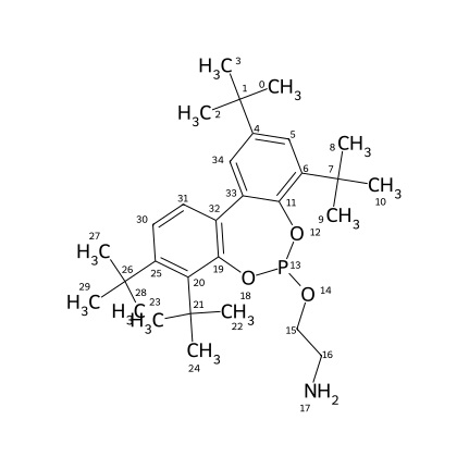 CC(C)(C)c1cc(C(C)(C)C)c2op(OCCN)oc3c(C(C)(C)C)c(C(C)(C)C)ccc3c2c1